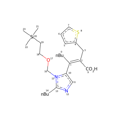 CCCCC(=C(Cc1cccs1)C(=O)O)c1cnc(CCCC)n1COCC[Si](C)(C)C